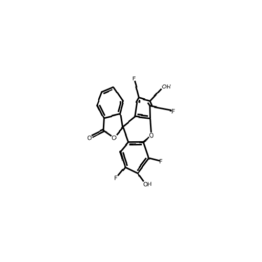 O=C1OC2(c3ccccc31)c1cc(F)c(O)c(F)c1Oc1c2cc(F)c(O)c1F